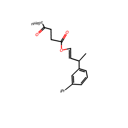 CCCCCCCC(=O)CCC(=O)OC=CC(C)c1cccc(C(C)C)c1